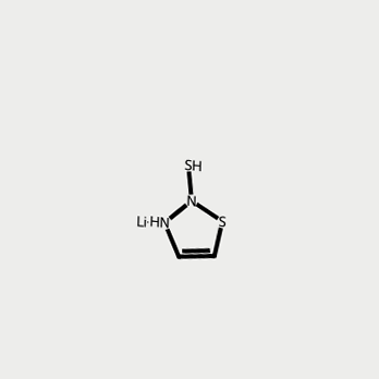 SN1NC=CS1.[Li]